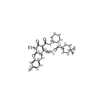 CCn1c(=O)c(C(=O)CN2CCCC[C@@H]2C(=O)N2CCC(F)(F)CC2)c(N)n(Cc2ccc(F)cc2)c1=O